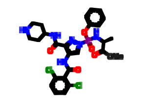 COC(=O)[C@H](C)NP(=O)(Oc1ccccc1)n1cc(NC(=O)c2c(Cl)cccc2Cl)c(C(=O)NC2CCNCC2)n1